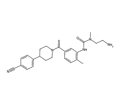 C=C(c1ccc(C)c(NC(=O)N(C)CCN)c1)N1CCC(c2ccc(C#N)cc2)CC1